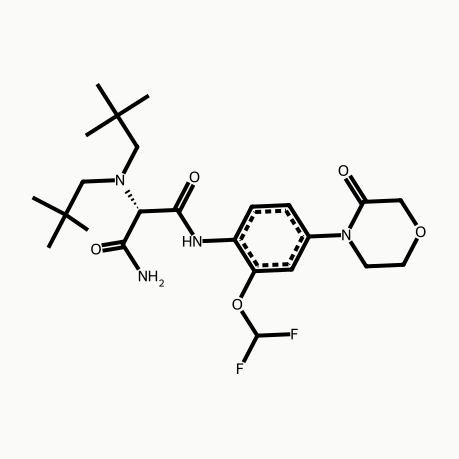 CC(C)(C)CN(CC(C)(C)C)[C@@H](C(N)=O)C(=O)Nc1ccc(N2CCOCC2=O)cc1OC(F)F